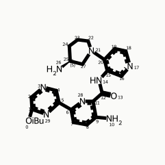 CC(C)COc1cncc(-c2ccc(N)c(C(=O)Nc3cnccc3N3CCC[C@H](N)C3)n2)n1